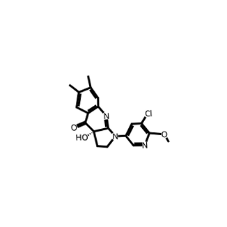 COc1ncc(N2CC[C@@]3(O)C(=O)c4cc(C)c(C)cc4N=C23)cc1Cl